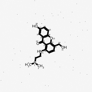 CN(C)CCNc1ccc(CO)c2oc3ccc(O)cc3c(=O)c12